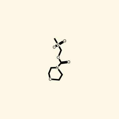 CS(=O)(=O)COC(=O)N1CCOCC1